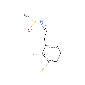 CC(C)(C)[S+]([O-])/N=C\Cc1cccc(F)c1F